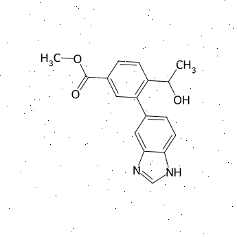 COC(=O)c1ccc(C(C)O)c(-c2ccc3[nH]cnc3c2)c1